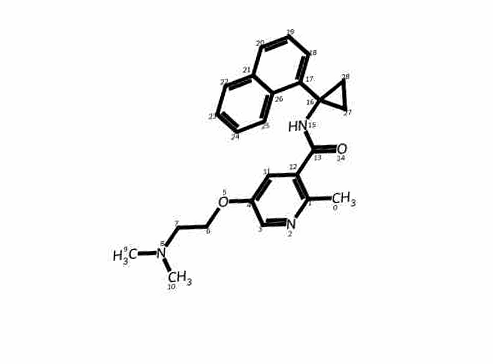 Cc1ncc(OCCN(C)C)cc1C(=O)NC1(c2cccc3ccccc23)CC1